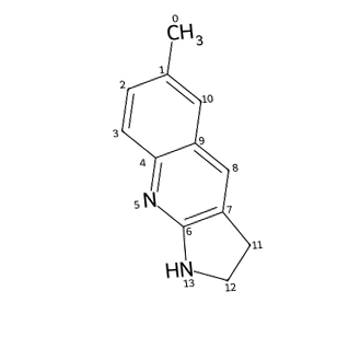 Cc1ccc2nc3c(cc2c1)CCN3